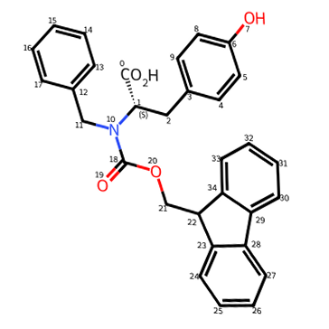 O=C(O)[C@H](Cc1ccc(O)cc1)N(Cc1ccccc1)C(=O)OCC1c2ccccc2-c2ccccc21